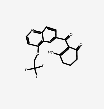 O=C1CCCC(O)=C1C(=O)c1ccc2nccc(OCC(F)(F)F)c2c1